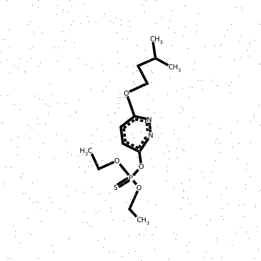 CCOP(=S)(OCC)Oc1ccc(OCCC(C)C)nn1